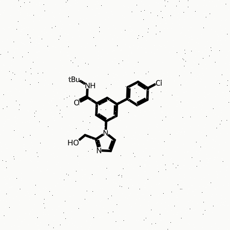 CC(C)(C)NC(=O)c1cc(-c2ccc(Cl)cc2)cc(-n2ccnc2CO)c1